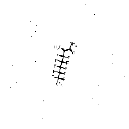 C=C(C(N)=O)C(F)(F)C(F)(F)C(F)(F)C(F)(F)C(F)(F)C(F)(F)F